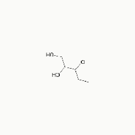 CCC(Cl)C(O)CO